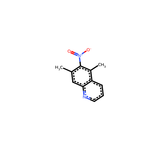 Cc1cc2ncccc2c(C)c1[N+](=O)[O-]